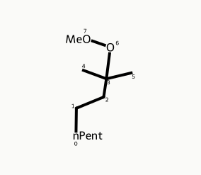 CCCCCCCC(C)(C)OOC